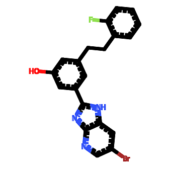 Oc1cc(CCc2ccccc2F)cc(-c2nc3ncc(Br)cc3[nH]2)c1